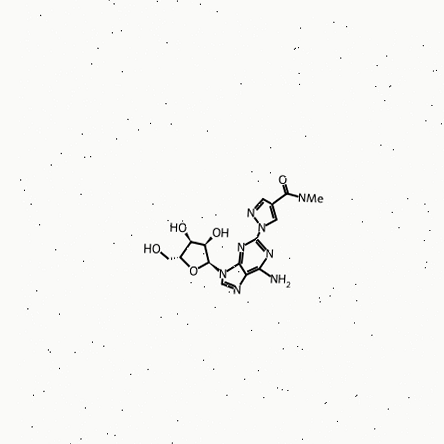 CNC(=O)c1cnn(-c2nc(N)c3ncn([C@H]4O[C@H](CO)[C@@H](O)[C@H]4O)c3n2)c1